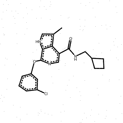 Cc1c[nH]c2c(Oc3cccc(Cl)c3)ncc(C(=O)NCC3CCC3)c12